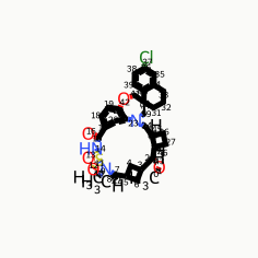 CO[C@@H]1C2CC(C2)[C@H](C)N(C)S(=O)(=O)NC(=O)c2ccc3c(c2)N(C[C@@H]2CC[C@H]21)C[C@@]1(CCCc2cc(Cl)ccc21)CO3